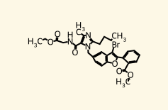 CCCCc1nc(C)c(C(=O)NCC(=O)OCC)n1Cc1ccc2oc(-c3ccccc3C(=O)OC)c(Br)c2c1